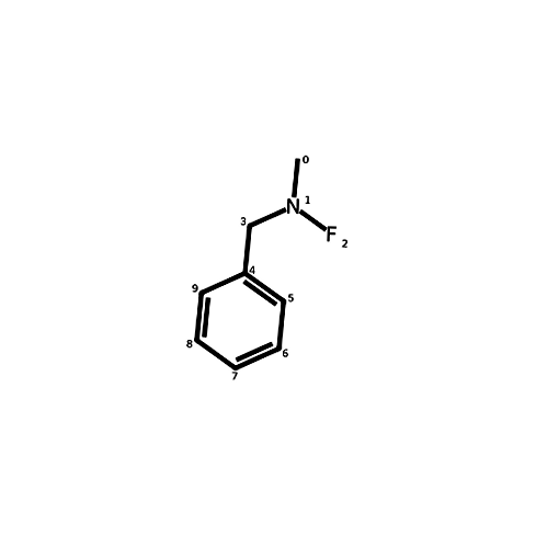 CN(F)Cc1ccccc1